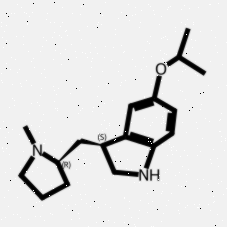 CC(C)Oc1ccc2c(c1)[C@H](C[C@H]1CCCN1C)CN2